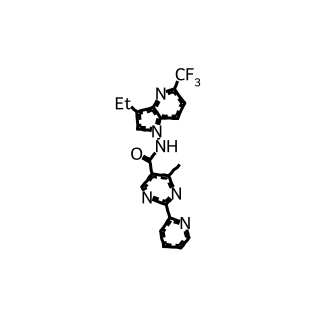 CCc1cn(NC(=O)c2cnc(-c3ccccn3)nc2C)c2ccc(C(F)(F)F)nc12